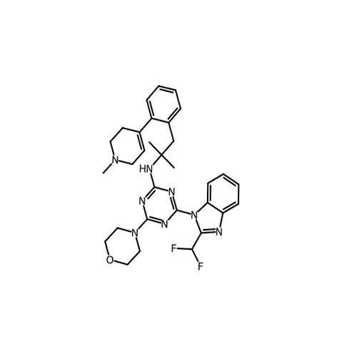 CN1CC=C(c2ccccc2CC(C)(C)Nc2nc(N3CCOCC3)nc(-n3c(C(F)F)nc4ccccc43)n2)CC1